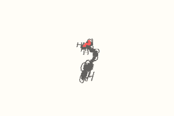 O=C1CCC(n2c(=O)oc3c(CCCOC4CCN(C(=O)c5ccc(NC(=O)[C@@H]6NC7(CCCCC7)[C@@]7(C(=O)Nc8cc(Cl)ccc87)[C@H]6c6cccc(Cl)c6F)cc5)CC4)cccc32)C(=O)N1